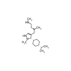 CNCCN(C)CC1=CNN(C)C1[C@H]1CC[C@@H](C(C)C)CC1